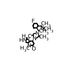 COC(C)c1cc(F)ccc1C(C)N1C[C@H](C)N(c2cc(=O)n(C)c3c[nH]nc23)C[C@H]1C